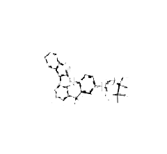 CC1(C)c2cc(B3OC(C)(C)C(C)(C)O3)ccc2-n2c3sc4ccccc4c3c3cccc1c32